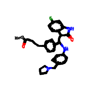 COC(=O)CCc1ccc(/C(Nc2ccc(CN3CCCC3)cc2)=C2/C(=O)Nc3cc(F)ccc32)cc1